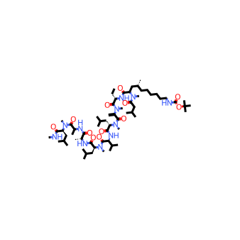 C=C(C(=O)N(C)[C@@H](CC(C)C)C(=O)N[C@H](C(=O)N(C)[C@@H](CC(C)C)C(=O)N[C@H](C)C(=O)NC(C)C(=O)N(C)[C@@H](CC(C)C)C(=O)NC)C(C)C)N(C)C(=O)[C@H](CC)NC(=O)C(C[C@H](C)CCCCCCNC(=O)OC(C)(C)C)N(C)C(=O)CC(C)C